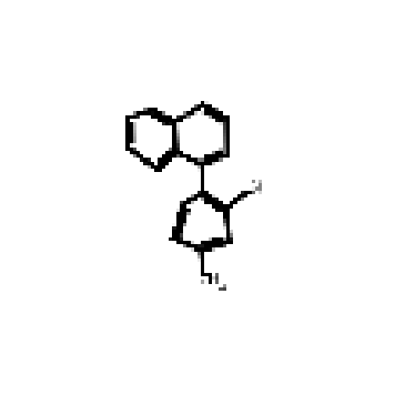 Cc1ccc(-c2cccc3ccccc23)c(S)c1